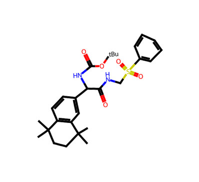 CC(C)(C)OC(=O)NC(C(=O)NCS(=O)(=O)c1ccccc1)c1ccc2c(c1)C(C)(C)CCC2(C)C